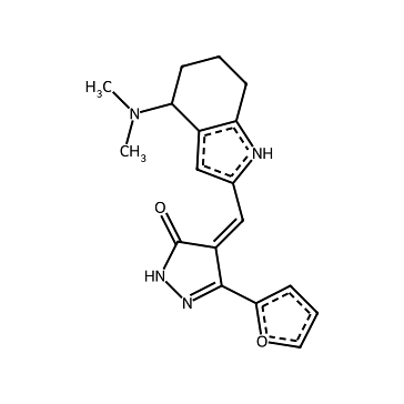 CN(C)C1CCCc2[nH]c(C=C3C(=O)NN=C3c3ccco3)cc21